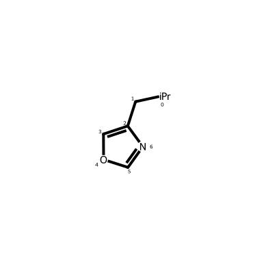 CC(C)Cc1cocn1